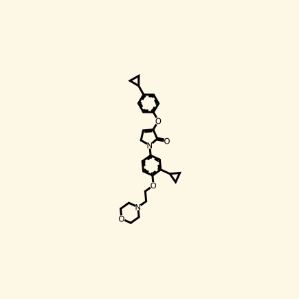 O=C1C(Oc2ccc(C3CC3)cc2)=CCN1c1ccc(OCCN2CCOCC2)c(C2CC2)c1